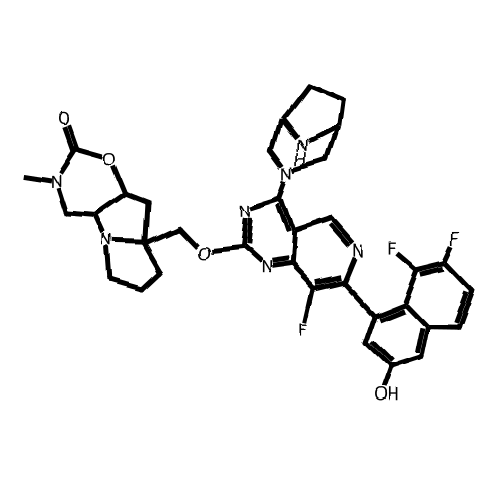 CN1CC2C(CC3(COc4nc(N5CC6CCC(C5)N6)c5cnc(-c6cc(O)cc7ccc(F)c(F)c67)c(F)c5n4)CCCN23)OC1=O